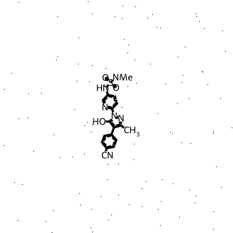 CNS(=O)(=O)Nc1ccc(-n2nc(C)c(-c3ccc(C#N)cc3)c2O)nc1